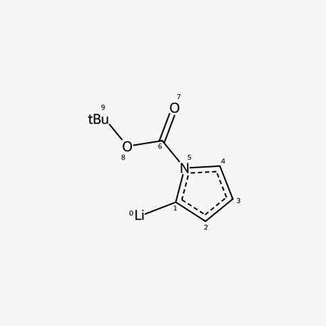 [Li][c]1cccn1C(=O)OC(C)(C)C